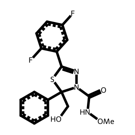 CONC(=O)N1N=C(c2cc(F)ccc2F)SC1(CO)c1ccccc1